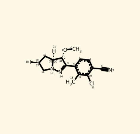 CO[C@@H]1C(c2ccc(C#N)c(Cl)c2C)=NN2C[C@@H](I)C[C@@H]12